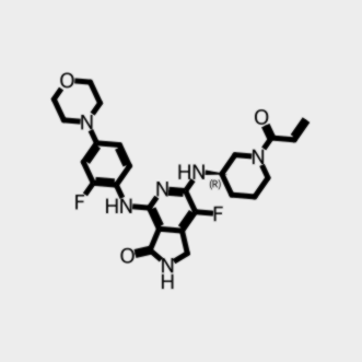 C=CC(=O)N1CCC[C@@H](Nc2nc(Nc3ccc(N4CCOCC4)cc3F)c3c(c2F)CNC3=O)C1